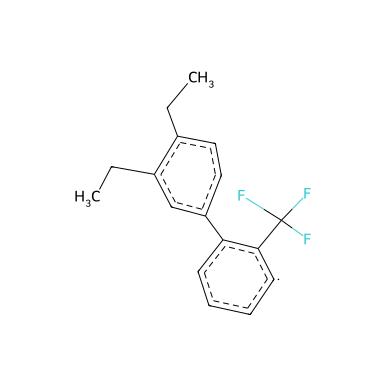 CCc1ccc(-c2ccc[c]c2C(F)(F)F)cc1CC